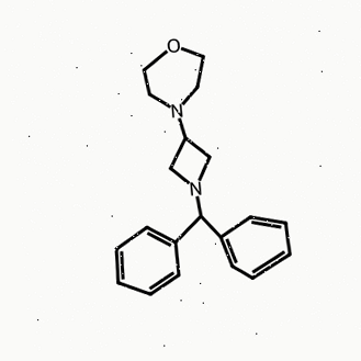 c1ccc(C(c2ccccc2)N2CC(N3CCOCC3)C2)cc1